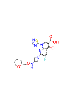 O=C(O)c1cn(-c2ncns2)c2nc(N3CC(NOC[C@@H]4CCCCO4)C3)c(F)cc2c1=O